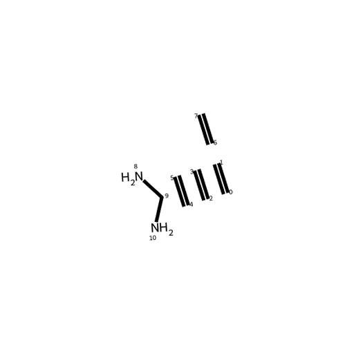 C=C.C=C.C=C.C=C.NCN